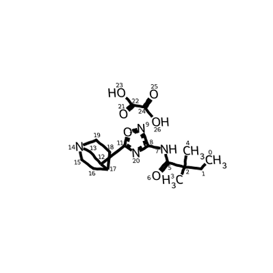 CCC(C)(C)C(=O)Nc1noc(C2CN3CCC2CC3)n1.O=C(O)C(=O)O